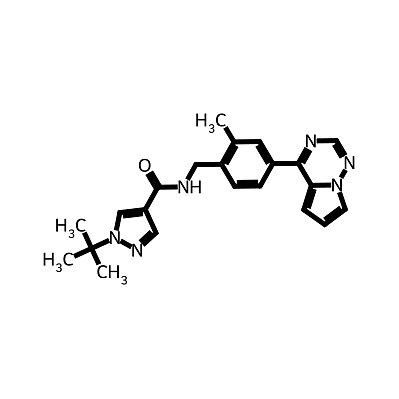 Cc1cc(-c2ncnn3cccc23)ccc1CNC(=O)c1cnn(C(C)(C)C)c1